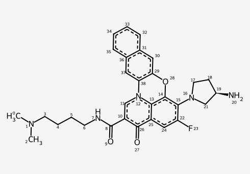 CN(C)CCCCNC(=O)c1cn2c3c(c(N4CC[C@@H](N)C4)c(F)cc3c1=O)Oc1cc3ccccc3cc1-2